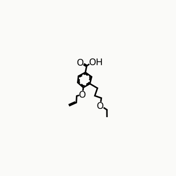 C=CCOc1ccc(C(=O)O)cc1CCCOCC